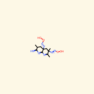 CC1=NC2=NC(=N)C(C)CC2(/N=N/OO)CC1(C)/N=N/OO